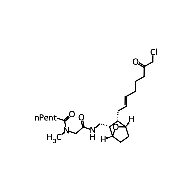 CCCCCC(=O)N(C)CC(=O)NC[C@@H]1[C@H](CC=CCCCC(=O)CCl)[C@@H]2CC[C@H]1O2